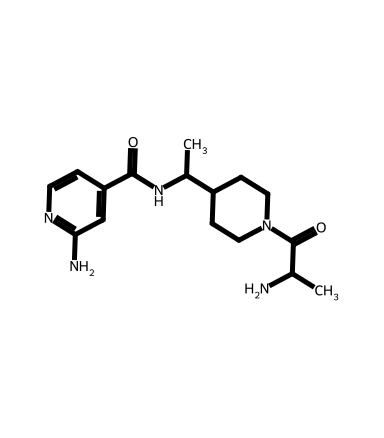 CC(N)C(=O)N1CCC(C(C)NC(=O)c2ccnc(N)c2)CC1